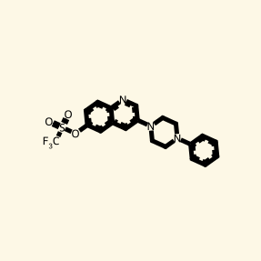 O=S(=O)(Oc1ccc2ncc(N3CCN(c4ccccc4)CC3)cc2c1)C(F)(F)F